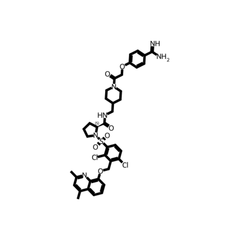 Cc1cc(C)c2cccc(OCc3c(Cl)ccc(S(=O)(=O)N4CCC[C@H]4C(=O)NCC4CCN(C(=O)COc5ccc(C(=N)N)cc5)CC4)c3Cl)c2n1